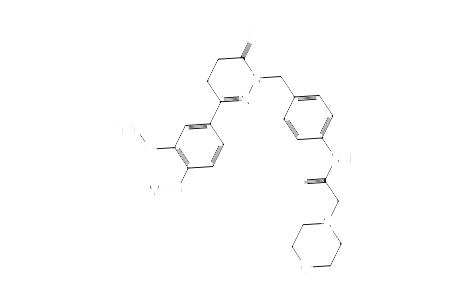 CCCOc1cc(C2=NN(Cc3ccc(NC(=O)CN4CCOCC4)cc3)C(=O)CC2)ccc1OC